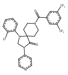 O=C(c1cc(C(F)(F)F)cc(C(F)(F)F)c1)N1CCC2(CC1)C(=O)N(c1ccncc1)CN2c1ccccc1Cl